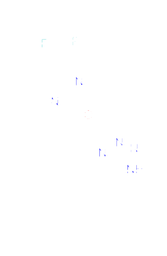 CCCCCn1c(C(F)F)c(CCC)n(Cc2ccc(-c3ccccc3-c3nnn[nH]3)cc2)c1=O